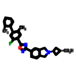 Cc1cc(-c2nc(-c3ccc4c(c3)CN([C@H]3C[C@@H](C(=O)O)C3)C4)no2)c(F)cc1-c1ccccc1C(F)(F)F